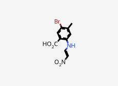 Cc1cc(NC=C[N+](=O)[O-])c(C(=O)O)cc1Br